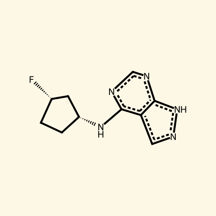 F[C@H]1CC[C@@H](Nc2ncnc3[nH]ncc23)C1